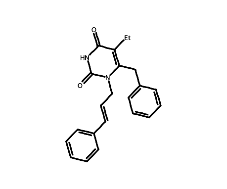 CCc1c(Cc2ccccc2)n(CC=Cc2ccccc2)c(=O)[nH]c1=O